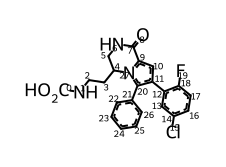 O=C(O)NCCC1CNC(=O)c2cc(-c3cc(Cl)ccc3F)c(-c3ccccc3)n21